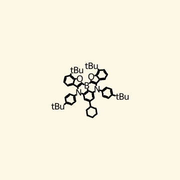 CC(C)(C)c1ccc(N2c3cc(C4CCCCC4)cc4c3B(c3oc5c(C(C)(C)C)cccc5c32)c2oc3c(C(C)(C)C)cccc3c2N4c2ccc(C(C)(C)C)cc2)cc1